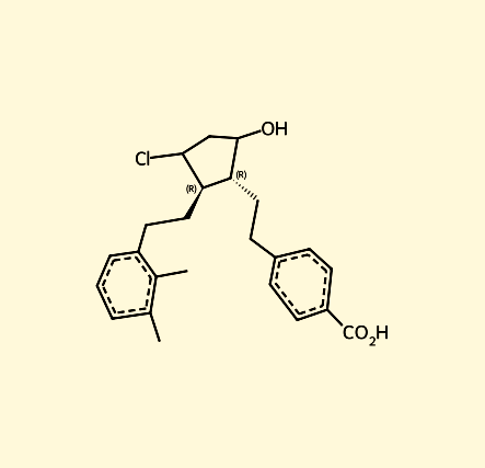 Cc1cccc(CC[C@H]2C(Cl)CC(O)[C@@H]2CCc2ccc(C(=O)O)cc2)c1C